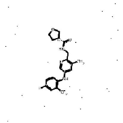 Cc1cc(Nc2ccc(F)cc2C(F)(F)F)cnc1CNC(=O)[C@@H]1CCOC1